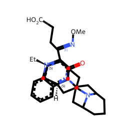 CC[C@H]1CC2CC(N3C4CCCC3CC(n3c(=O)c(/C(CCC(=O)O)=N/OC)nc5ccccc53)C4)C[C@H](C2)C1